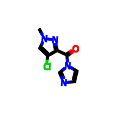 Cn1cc(Cl)c(C(=O)n2ccnc2)n1